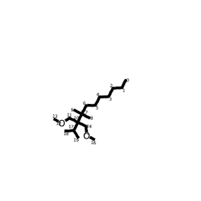 CCCCCCCC(C)(C)C(COC)(COC)C(C)C